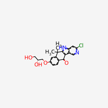 CC1(C)c2cc(OC[C@H](O)CO)ccc2C(=O)c2c1[nH]c1cc(Cl)ncc21